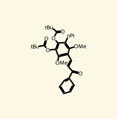 CCCc1c(OC)c(C=CC(=O)c2ccccc2)c(OC)c(OC(=O)C(C)(C)C)c1OC(=O)C(C)(C)C